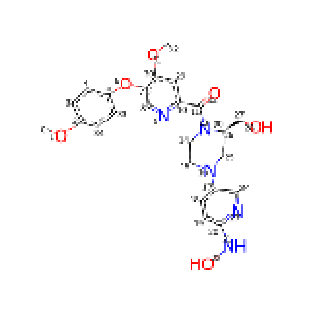 COc1ccc(Oc2cnc(C(=O)N3CCN(c4ccc(NO)nc4)C[C@@H]3CO)cc2OC)cc1